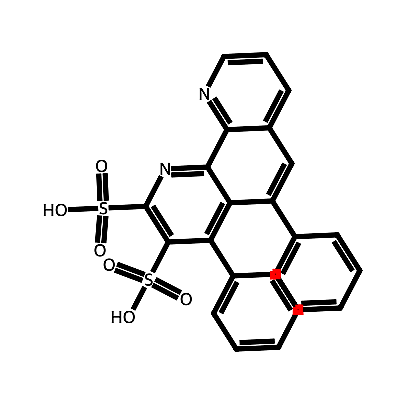 O=S(=O)(O)c1nc2c(c(-c3ccccc3)cc3cccnc32)c(-c2ccccc2)c1S(=O)(=O)O